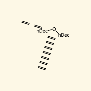 C=C.C=C.C=C.C=C.C=C.C=C.C=C.C=C.C=C.CCCCCCCCCCOCCCCCCCCCC